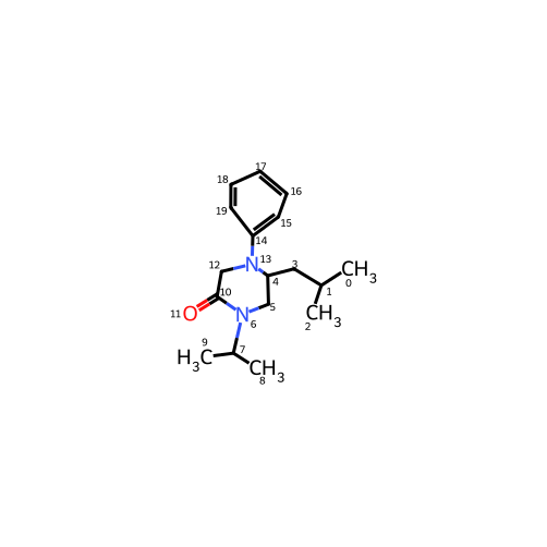 CC(C)CC1CN(C(C)C)C(=O)CN1c1ccccc1